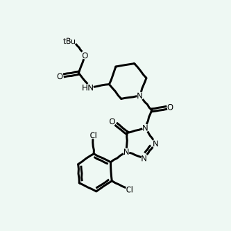 CC(C)(C)OC(=O)NC1CCCN(C(=O)n2nnn(-c3c(Cl)cccc3Cl)c2=O)C1